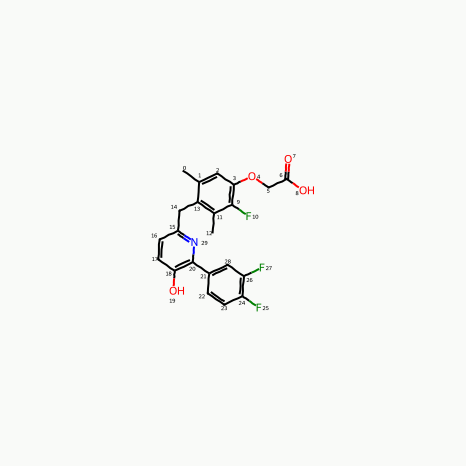 Cc1cc(OCC(=O)O)c(F)c(C)c1Cc1ccc(O)c(-c2ccc(F)c(F)c2)n1